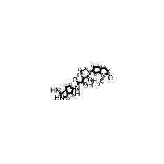 Cn1c(=O)ccc2ccc(N3CCO[C@H]([C@@H](O)C(=O)Nc4ccc5c(c4)CNC5=N)C3=O)cc21